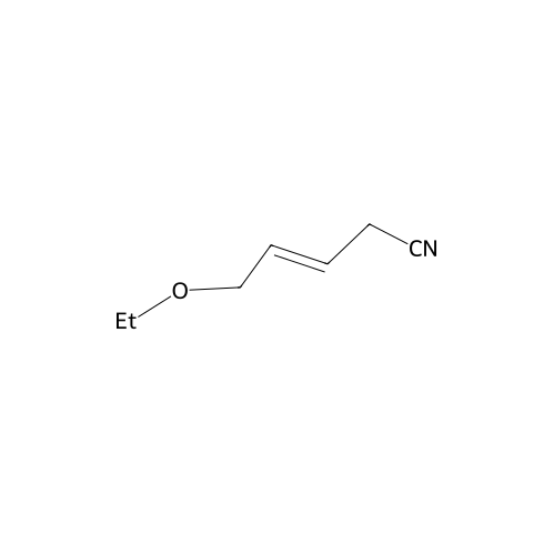 CCOC/C=C/CC#N